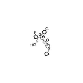 Cl.O=C(OCCC(c1cc(F)ccc1F)S(=O)(=O)c1ccc(Cl)cc1)N1CCN(Cc2ccccc2)CC1